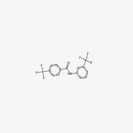 O=C(Nc1[c]ccc(C(F)(F)F)c1)c1ccc(C(F)(F)F)cc1